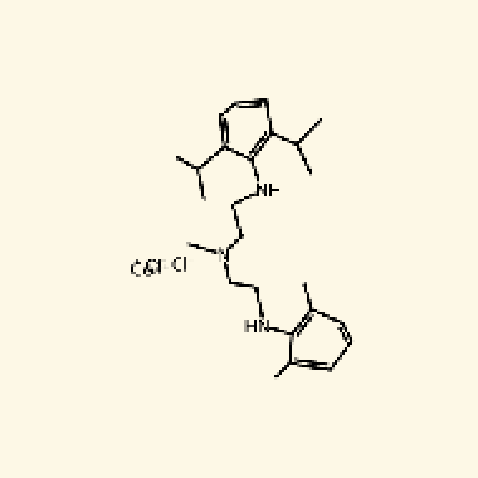 Cc1cccc(C)c1NCCN(C)CCNc1c(C(C)C)cccc1C(C)C.[Cl-].[Cl-].[Co+2]